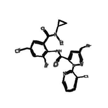 CCN(C(=O)c1cc(Cl)cc(Br)c1NC(=O)c1cc(Br)nn1-c1ncccc1Cl)C1CC1